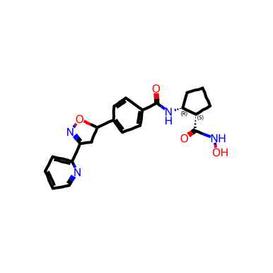 O=C(N[C@@H]1CCC[C@@H]1C(=O)NO)c1ccc(C2CC(c3ccccn3)=NO2)cc1